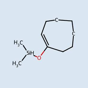 C[SiH](C)OC1=CCCCCCC1